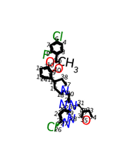 C[C@]1(c2ccc(Cl)cc2F)Oc2cccc(C3CCN(Cc4nc5cc(Cl)nnc5n4C[C@H]4CCOC4)CC3)c2O1